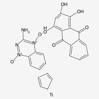 Nc1n[n+]([O-])c2ccccc2[n+]1[O-].O=C1c2ccccc2C(=O)c2c(O)c(O)cc(O)c21.[CH]1C=CC=C1.[Ti]